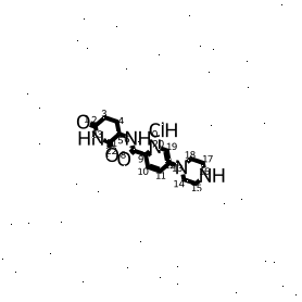 Cl.O=C1CCC(NC(=O)c2ccc(N3CCNCC3)cn2)C(=O)N1